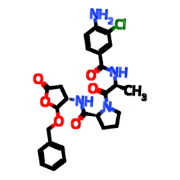 C[C@H](NC(=O)c1ccc(N)c(Cl)c1)C(=O)N1CCC[C@H]1C(=O)N[C@H]1CC(=O)OC1OCc1ccccc1